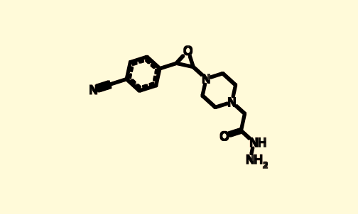 N#Cc1ccc(C2OC2N2CCN(CC(=O)NN)CC2)cc1